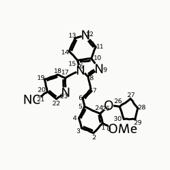 COc1cccc(C=Cc2nc3cnccc3n2-c2ccc(C#N)cn2)c1OC1CCCC1